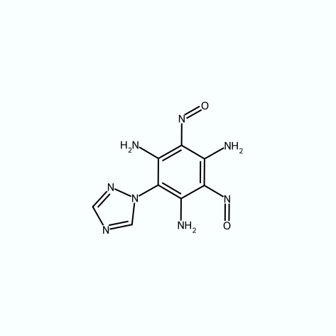 Nc1c(N=O)c(N)c(-n2cncn2)c(N)c1N=O